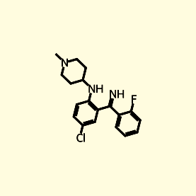 CN1CCC(Nc2ccc(Cl)cc2C(=N)c2ccccc2F)CC1